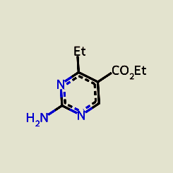 CCOC(=O)c1cnc(N)nc1CC